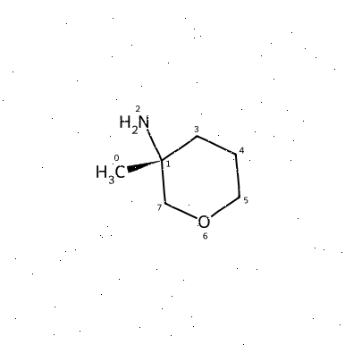 C[C@@]1(N)CCCOC1